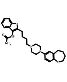 NC(=O)Nc1c(CCCCN2CCN(c3ccc4c(c3)CCCCO4)CC2)oc2ccccc12